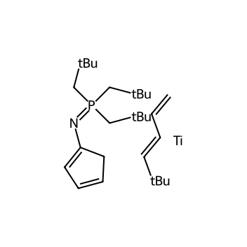 C=CC=CC(C)(C)C.CC(C)(C)CP(CC(C)(C)C)(CC(C)(C)C)=NC1=CC=CC1.[Ti]